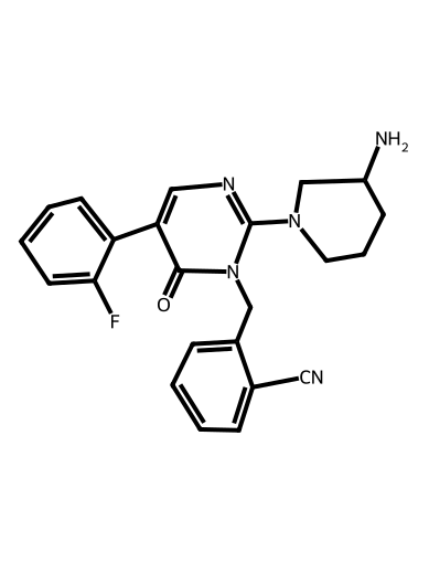 N#Cc1ccccc1Cn1c(N2CCCC(N)C2)ncc(-c2ccccc2F)c1=O